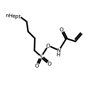 C=CC(=O)NOS(=O)(=O)CCCCCCCCCCC